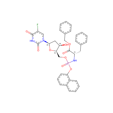 O=C(OCc1ccccc1)[C@H](Cc1ccccc1)NP(=O)(OC[C@H]1O[C@@H](n2cc(F)c(=O)[nH]c2=O)C[C@H]1O)Oc1cccc2ccccc12